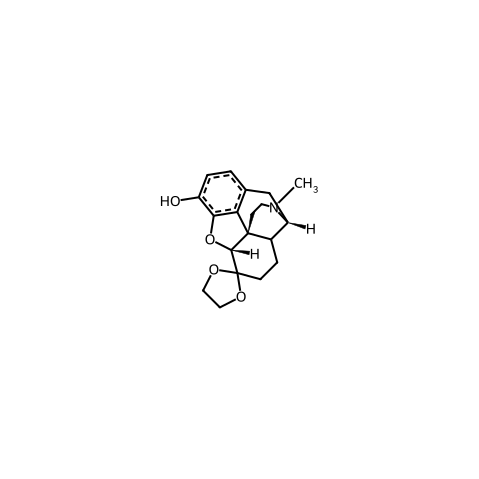 CN1CC[C@]23c4c5ccc(O)c4O[C@H]2C2(CCC3[C@H]1C5)OCCO2